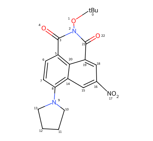 CC(C)(C)ON1C(=O)c2ccc(N3CCCC3)c3cc([N+](=O)[O-])cc(c23)C1=O